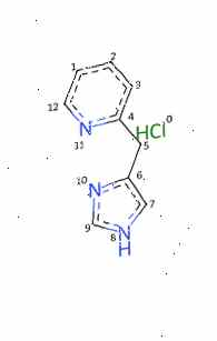 Cl.c1ccc(Cc2c[nH]cn2)nc1